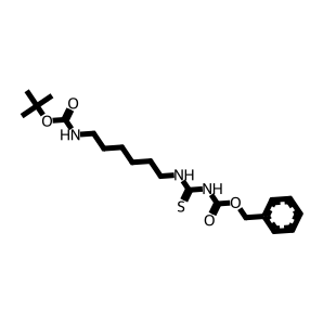 CC(C)(C)OC(=O)NCCCCCCNC(=S)NC(=O)OCc1ccccc1